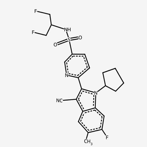 Cc1cc2c(C#N)c(-c3ccc(S(=O)(=O)NC(CF)CF)cn3)n(C3CCCC3)c2cc1F